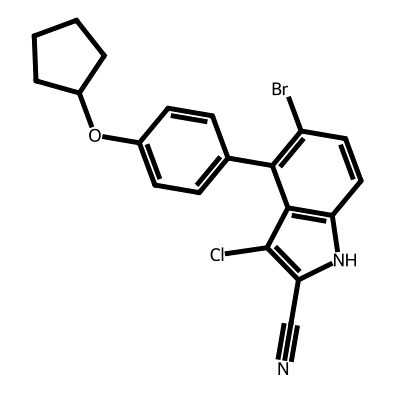 N#Cc1[nH]c2ccc(Br)c(-c3ccc(OC4CCCC4)cc3)c2c1Cl